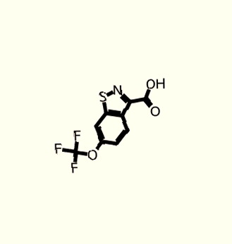 O=C(O)c1nsc2cc(OC(F)(F)F)ccc12